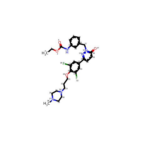 CCOC(=O)Nc1cccc(Cn2nc(-c3cc(F)c(OCCCN4CCN(C)CC4)c(F)c3)ccc2=O)c1